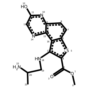 COC(=O)c1sc2ccc3nc(O)cnc3c2c1NCC(C)N